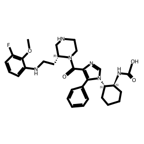 COc1c(F)cccc1NCC[C@@H]1CNCCN1C(=O)c1ncn([C@H]2CCCC[C@@H]2NC(=O)O)c1-c1ccccc1